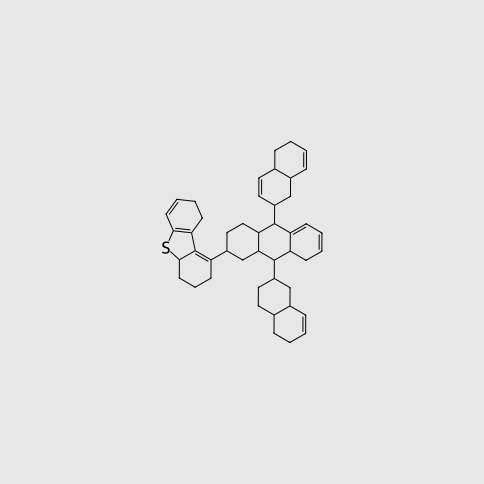 C1=CCC2C(=C1)C(C1C=CC3CCC=CC3C1)C1CCC(C3=C4C5=C(C=CCC5)SC4CCC3)CC1C2C1CCC2CCC=CC2C1